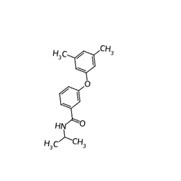 Cc1cc(C)cc(Oc2cccc(C(=O)NC(C)C)c2)c1